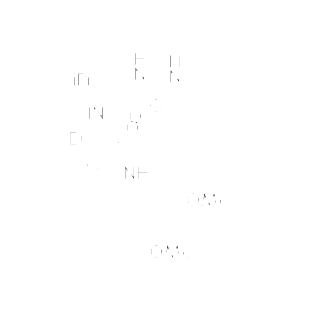 CCC(NC(=O)C(CC(C)C)NC(=O)NCC1CCCCC1)C(=O)C(=O)NCc1cc(OC)cc(OC)c1